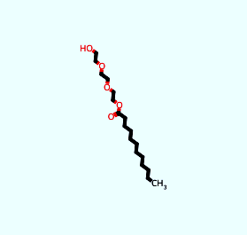 CCCCCCCCCCCC(=O)OCCOCCOCCO